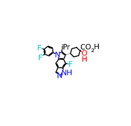 CC(C)c1c([C@H]2CC[C@](O)(C(=O)O)CC2)c2c(F)c3[nH]ncc3cc2n1-c1ccc(F)c(F)c1